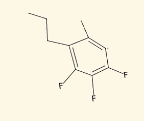 CCCc1c(C)[c]c(F)c(F)c1F